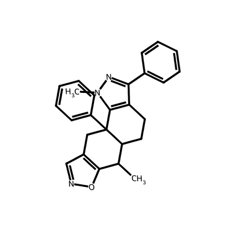 CC1c2oncc2CC2(c3ccccc3)c3c(c(-c4ccccc4)nn3C)CCC12